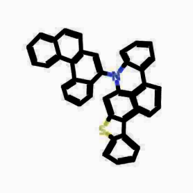 c1ccc(-c2ccccc2N(c2ccc3c(c2)sc2ccccc23)c2cc3ccc4ccccc4c3c3ccccc23)cc1